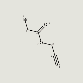 C#CCOC(=O)CBr